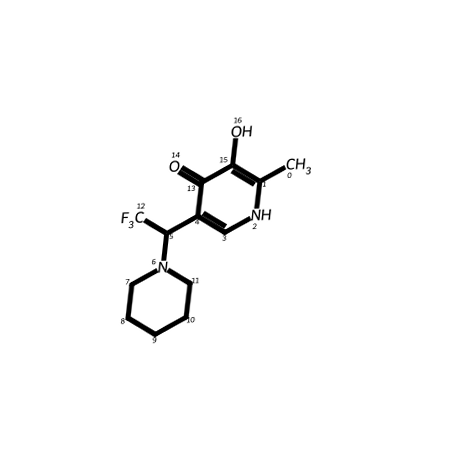 Cc1[nH]cc(C(N2CCCCC2)C(F)(F)F)c(=O)c1O